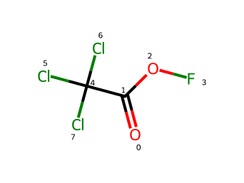 O=C(OF)C(Cl)(Cl)Cl